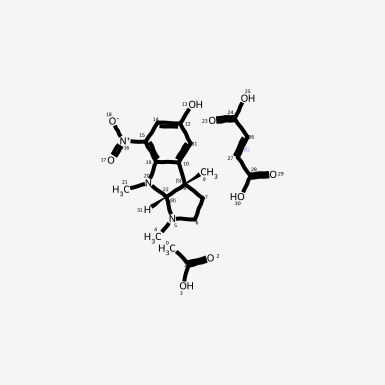 CC(=O)O.CN1CC[C@@]2(C)c3cc(O)cc([N+](=O)[O-])c3N(C)[C@@H]12.O=C(O)/C=C/C(=O)O